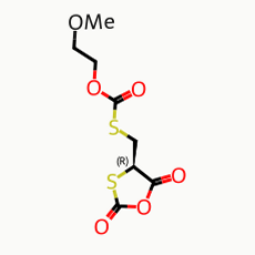 COCCOC(=O)SC[C@@H]1SC(=O)OC1=O